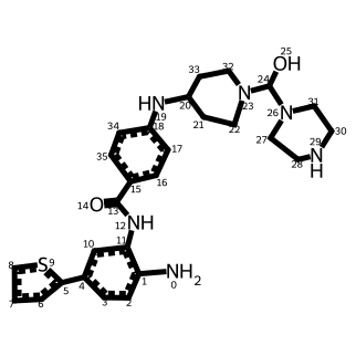 Nc1ccc(-c2cccs2)cc1NC(=O)c1ccc(NC2CCN(C(O)N3CCNCC3)CC2)cc1